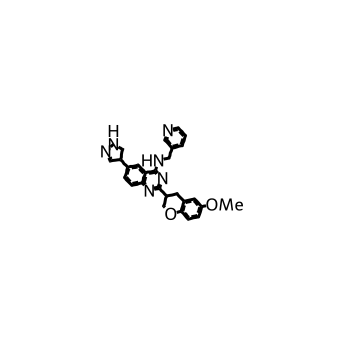 COc1ccc2c(c1)CC(c1nc(NCc3cccnc3)c3cc(C4C=NNC4)ccc3n1)CO2